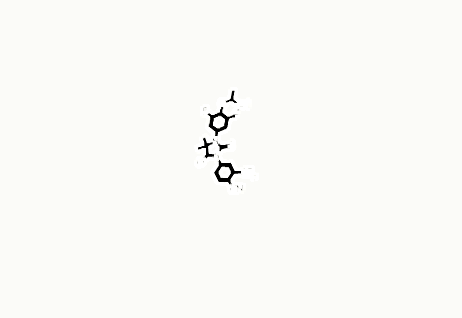 CC(S)Oc1c(F)cc(N2C(=S)N(c3ccc(C#N)c(C(F)(F)F)c3)C(=O)C2(C)C)cc1F